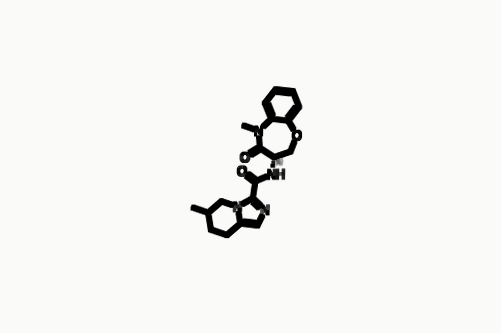 CC1CCc2cnc(C(=O)N[C@H]3COc4ccccc4N(C)C3=O)n2C1